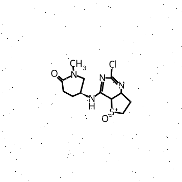 CN1C[C@@H](NC2=NC(Cl)=NC3CC[S+]([O-])C23)CCC1=O